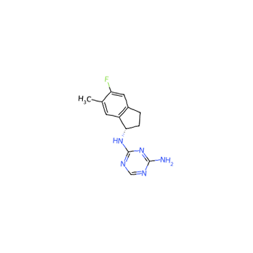 Cc1cc2c(cc1F)CC[C@@H]2Nc1ncnc(N)n1